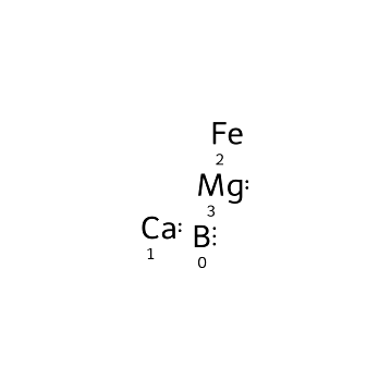 [B].[Ca].[Fe].[Mg]